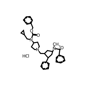 CN(C(=O)c1ccccc1)C1CC(CN2CCC(N(CC3CC3)C(=O)OCc3ccccc3)CC2)C(c2ccccc2)C1.Cl